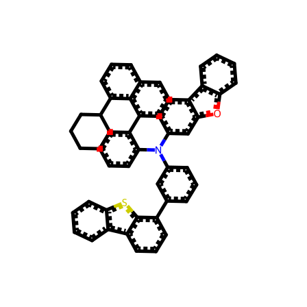 c1cc(-c2cccc3c2sc2ccccc23)cc(N(c2ccc3c(c2)oc2ccccc23)c2ccccc2-c2cccc3cccc(C4CCCCC4)c23)c1